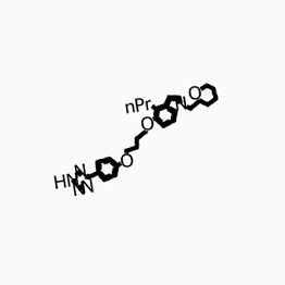 CCCc1c(OCCCCOc2ccc(-c3nn[nH]n3)cc2)ccc2c1ccn2CC1CCCCO1